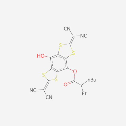 [C-]#[N+]C([N+]#[C-])=C1Sc2c(O)c3c(c(OC(=O)C(CC)CCCC)c2S1)SC(=C(C#N)C#N)S3